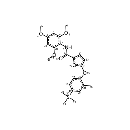 COc1cc(OC)c(NC(=O)c2ccc(Oc3ccc([Si](C)(C)C)cc3C)o2)c(OC)c1